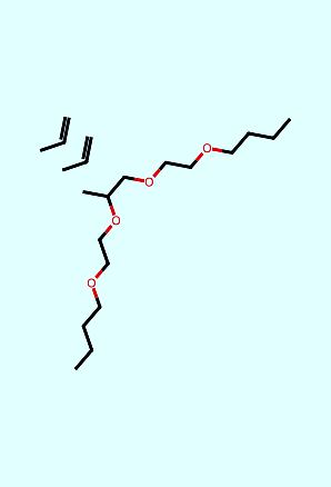 C=CC.C=CC.CCCCOCCOCC(C)OCCOCCCC